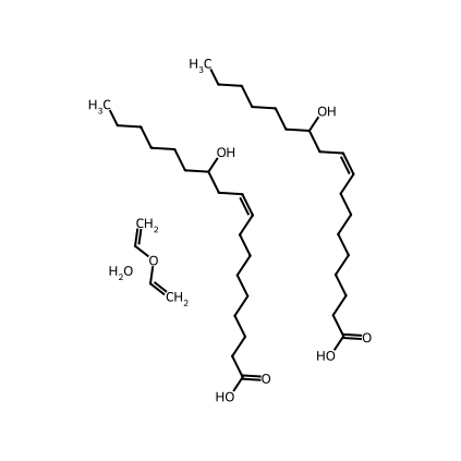 C=COC=C.CCCCCCC(O)C/C=C\CCCCCCCC(=O)O.CCCCCCC(O)C/C=C\CCCCCCCC(=O)O.O